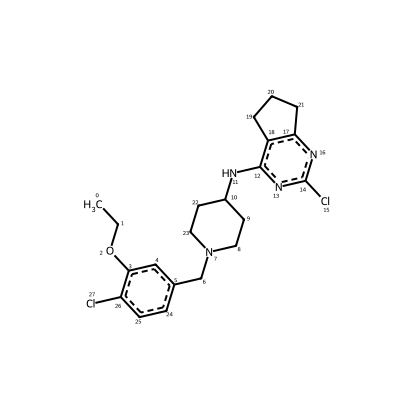 CCOc1cc(CN2CCC(Nc3nc(Cl)nc4c3CCC4)CC2)ccc1Cl